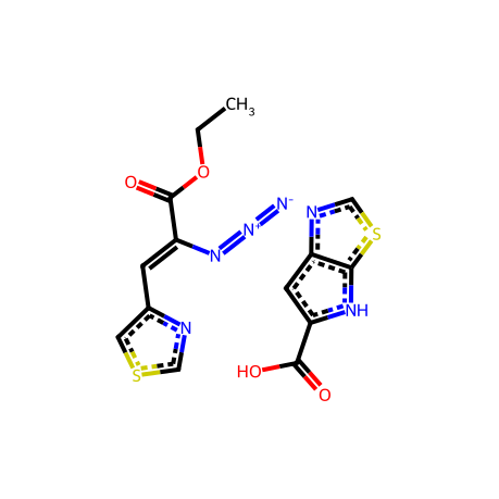 CCOC(=O)C(=Cc1cscn1)N=[N+]=[N-].O=C(O)c1cc2ncsc2[nH]1